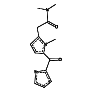 CN(C)C(=O)Cc1ccc(C(=O)c2cccs2)n1C